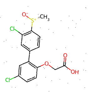 C[S@@+]([O-])c1ccc(-c2cc(Cl)ccc2OCC(=O)O)cc1Cl